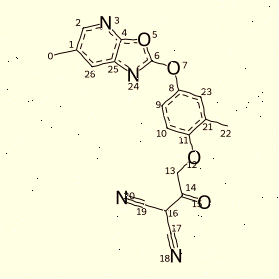 Cc1cnc2oc(Oc3ccc(OCC(=O)C(C#N)C#N)c(C)c3)nc2c1